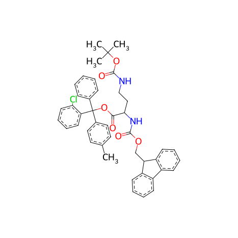 Cc1ccc(C(OC(=O)C(CCNC(=O)OC(C)(C)C)NC(=O)OCC2c3ccccc3-c3ccccc32)(c2ccccc2)c2ccccc2Cl)cc1